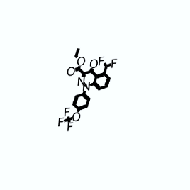 CCOC(=O)c1nn(-c2ccc(OC(F)(F)F)cc2)c2cccc(C(F)F)c2c1=O